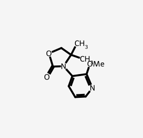 COc1ncccc1N1C(=O)OCC1(C)C